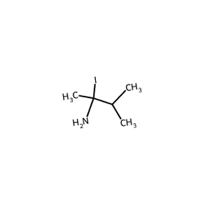 CC(C)C(C)(N)I